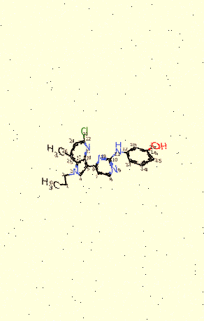 CCCn1cc(-c2ccnc(Nc3cccc(O)c3)n2)c2nc(Cl)cc(C)c21